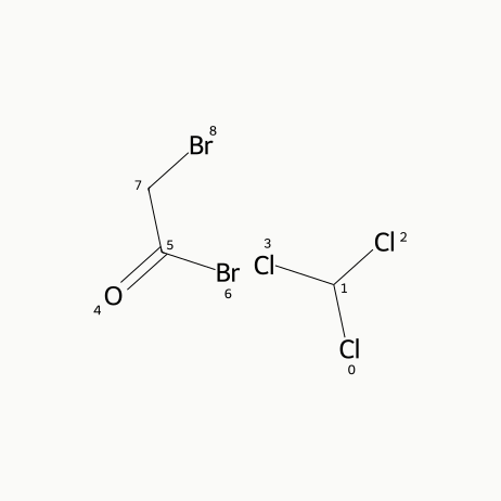 ClC(Cl)Cl.O=C(Br)CBr